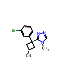 Cn1cnnc1[C@]1(c2cccc(Br)c2)C[C@H](C#N)C1